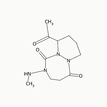 CNN1CCC(=O)N2CCCC(C(C)=O)N2C1=O